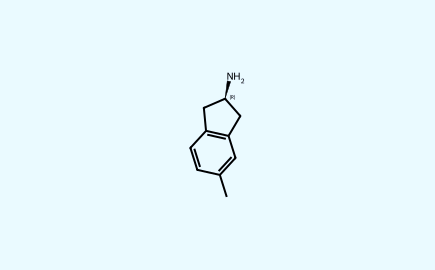 Cc1ccc2c(c1)C[C@H](N)C2